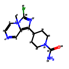 C[N+]12C=CN=CC1=C(C1CCN(C(N)=O)CC1)N=C2Br